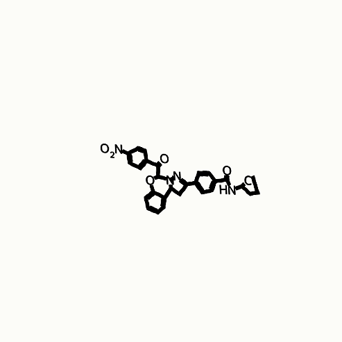 O=C(NC1CCCC1)c1ccc(C2=NN3C(C(=O)c4ccc([N+](=O)[O-])cc4)Oc4ccccc4C3C2)cc1